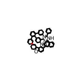 c1cccc(C2NC(c3ccccc3)=NC(C3=CC(c4c(C5=CCCC=C5)cccc4C4=CCCC=C4)=CCC3n3c4c(c5ccc6oc7c(c6c53)C=CCC7)=CCCC=4)N2)c#1